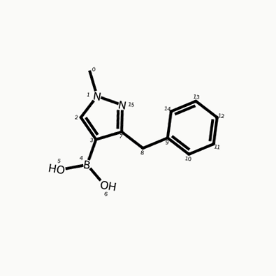 Cn1cc(B(O)O)c(Cc2ccccc2)n1